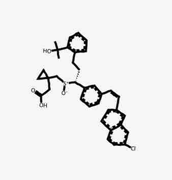 CC(C)(O)c1ccccc1CC[C@H](c1cccc(/C=C\c2ccc3ccc(Cl)cc3c2)c1)[S+]([O-])CC1(CC(=O)O)CC1